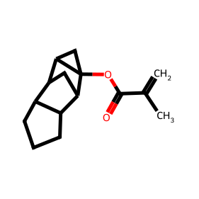 C=C(C)C(=O)OC12CC1C1CC2C2CCCC21